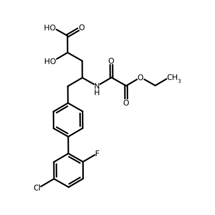 CCOC(=O)C(=O)NC(Cc1ccc(-c2cc(Cl)ccc2F)cc1)CC(O)C(=O)O